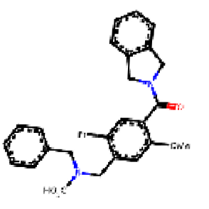 COc1cc(CN(Cc2ccccc2)C(=O)O)c(C(C)C)cc1C(=O)N1Cc2ccccc2C1